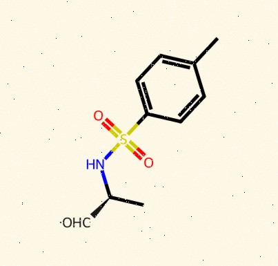 Cc1ccc(S(=O)(=O)N[C@@H](C)[C]=O)cc1